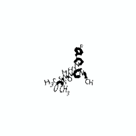 C#CCN1CC[C@@H](NC(=O)Nc2nc(C)c(C(C)=O)s2)[C@H](CN2CCC[C@@H](Cc3ccc(F)cc3)C2)C1